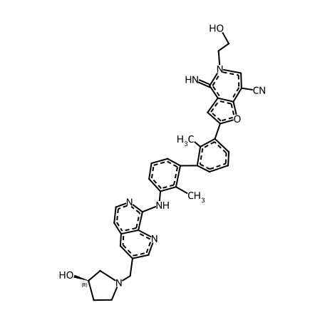 Cc1c(Nc2nccc3cc(CN4CC[C@@H](O)C4)cnc23)cccc1-c1cccc(-c2cc3c(=N)n(CCO)cc(C#N)c3o2)c1C